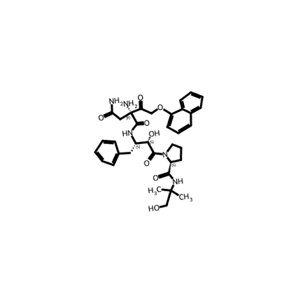 CC(C)(CO)NC(=O)[C@@H]1CCCN1C(=O)[C@@H](O)[C@H](Cc1ccccc1)NC(=O)[C@@](N)(CC(N)=O)C(=O)COc1cccc2ccccc12